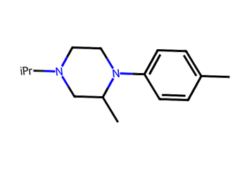 Cc1ccc(N2CCN(C(C)C)CC2C)cc1